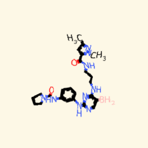 Bc1cnc(Nc2cccc(NC(=O)N3CCCC3)c2)nc1NCCCNC(=O)c1cc(C)nn1C